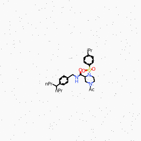 CCCC(CCC)c1ccc(CNC(=O)C2CN(C(C)=O)CCN2S(=O)(=O)c2ccc(C(C)C)cc2)cc1